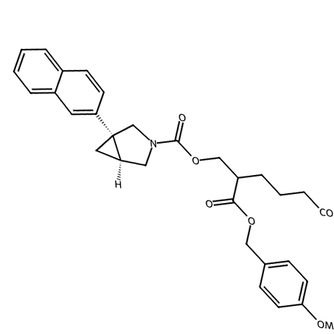 COc1ccc(COC(=O)C(CCCC(=O)O)COC(=O)N2C[C@H]3C[C@@]3(c3ccc4ccccc4c3)C2)cc1